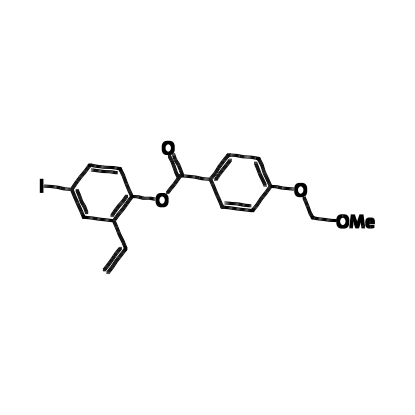 C=Cc1cc(I)ccc1OC(=O)c1ccc(OCOC)cc1